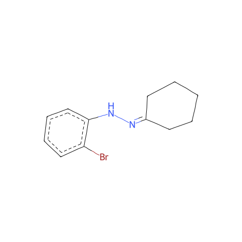 Brc1ccccc1NN=C1CCCCC1